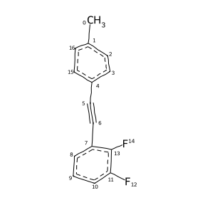 Cc1ccc(C#Cc2cccc(F)c2F)cc1